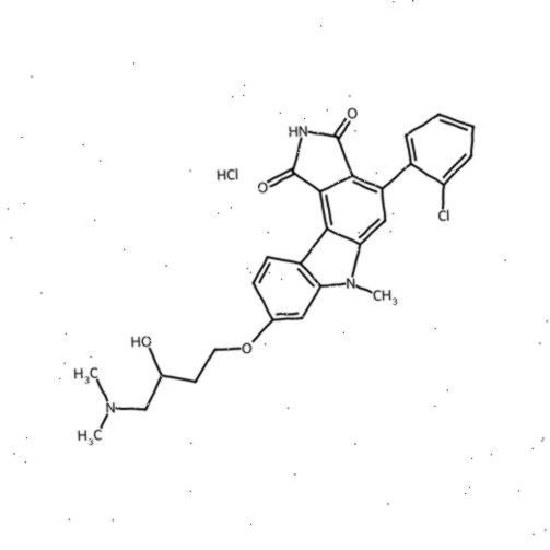 CN(C)CC(O)CCOc1ccc2c3c4c(c(-c5ccccc5Cl)cc3n(C)c2c1)C(=O)NC4=O.Cl